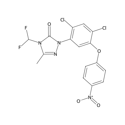 Cc1nn(-c2cc(Oc3ccc([N+](=O)[O-])cc3)c(Cl)cc2Cl)c(=O)n1C(F)F